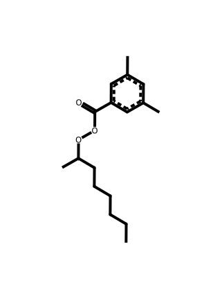 CCCCCC[C](C)OOC(=O)c1cc(C)cc(C)c1